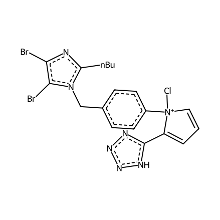 CCCCc1nc(Br)c(Br)n1Cc1ccc([N+]2(Cl)C=CC=C2c2nnn[nH]2)cc1